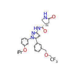 CC(C)Oc1cccc(-n2nc(NC(=O)[C@@H]3CNC(=O)C3)cc2-c2cccc(COCC(F)(F)F)c2)c1